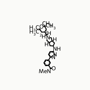 [2H]C([2H])(C1CC(C)(C)OC(C)(C)C1)N1C[C@H]2CC(Nc3ccc(-c4cccc(C(=O)NC)c4)nn3)C[C@H]2C1